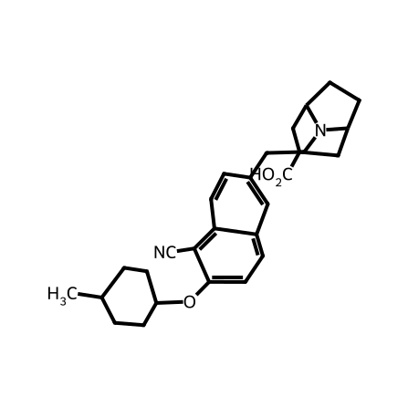 CC1CCC(Oc2ccc3cc(CCN4C5CCC4CC(C(=O)O)C5)ccc3c2C#N)CC1